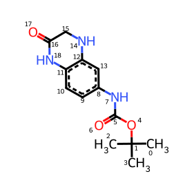 CC(C)(C)OC(=O)Nc1ccc2c(c1)NCC(=O)N2